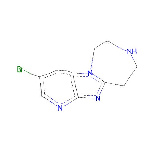 Brc1cnc2nc3n(c2c1)CCNCC3